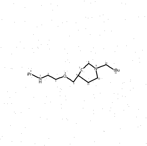 CC(C)NCCOCC1CCN(CC(C)(C)C)CC1